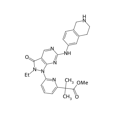 CCn1c(=O)c2cnc(Nc3ccc4c(c3)CCNC4)nc2n1-c1cccc(C(C)(C)C(=O)OC)n1